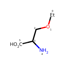 CCOCC(N)C(=O)O